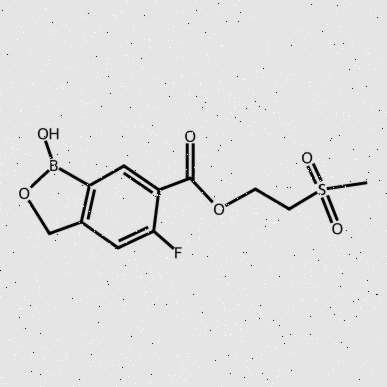 CS(=O)(=O)CCOC(=O)c1cc2c(cc1F)COB2O